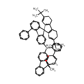 CC(C)(C)C1=CC2=C(CC1)C1=C(C=C(C(C)(C)C)CC1)C21c2cc(N(c3ccc4c(c3)C(C)(C)c3ccccc3-4)c3ccccc3C3=CCCC=C3)ccc2-c2c(-c3ccccc3)cccc21